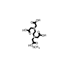 C.O=C(O)CN(CCN(CC(=O)O)CC(=O)O)CC(=O)O.[Ti]